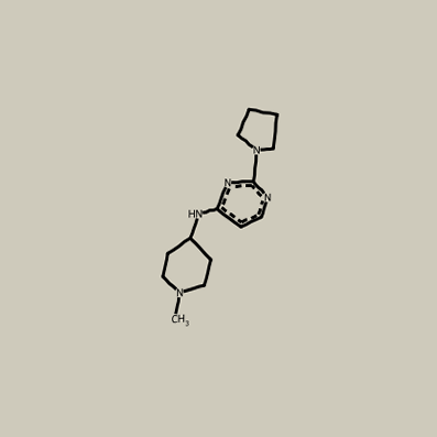 CN1CCC(Nc2ccnc(N3CCCC3)n2)CC1